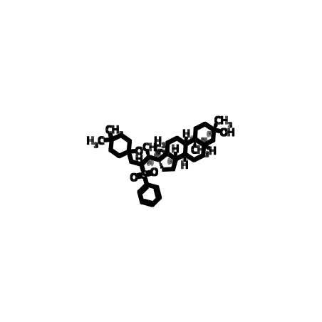 C[C@H](C(CC1(O)CCC(C)(C)CC1)S(=O)(=O)c1ccccc1)[C@H]1CC[C@H]2[C@@H]3CC[C@H]4C[C@@](C)(O)CC[C@]4(C)[C@H]3CC[C@]12C